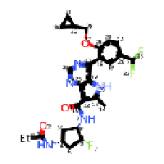 CCC(=O)N[C@H]1C[C@@H](F)[C@H](NC(=O)c2c(C)[nH]c3c(-c4cc(C(F)F)ccc4OCC4CC4)ncnc23)C1